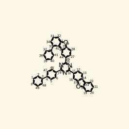 c1ccc(-c2ccc(-c3nc(-c4ccc5c(c4)oc4ccccc45)nc(-c4ccc5oc6cccc(-c7ccccc7)c6c5c4)n3)cc2)cc1